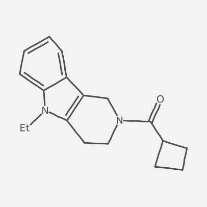 CCn1c2c(c3ccccc31)CN(C(=O)C1CCC1)CC2